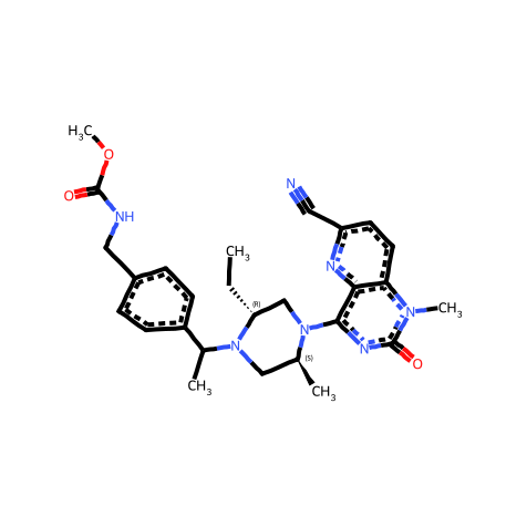 CC[C@@H]1CN(c2nc(=O)n(C)c3ccc(C#N)nc23)[C@@H](C)CN1C(C)c1ccc(CNC(=O)OC)cc1